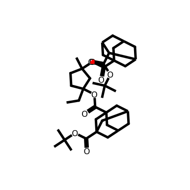 CCC1(OC(=O)C23CC4CC(CC(C(=O)OC(C)(C)C)(C4)C2)C3)CCC(C)(OC(=O)C23CC4CC(C2)C(C(=O)OC(C)(C)C)C(C4)C3)C1